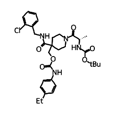 CCc1ccc(NC(=O)OCC2(C(=O)NCc3ccccc3Cl)CCN(C(=O)[C@H](C)NC(=O)OC(C)(C)C)CC2)cc1